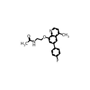 CC(=O)NCCOc1cc(-c2ccc(F)cc2)cc2c(C)ccnc12